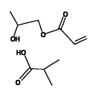 C=CC(=O)OCC(C)O.CC(C)C(=O)O